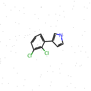 Clc1cccc(C2=C[N]C=C2)c1Cl